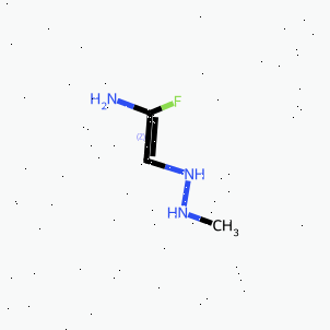 CNN/C=C(/N)F